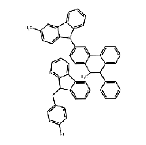 CCc1ccc(CC2c3ccc(-c4ccccc4C4c5ccccc5-c5cc(-n6c7ccccc7c7cc(C)ccc76)ccc5C4C)cc3-c3cccnc32)cc1